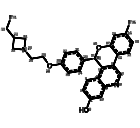 Oc1ccc2c3c(cnc2c1)-c1ccc(F)cc1O[C@@H]3c1ccc(OCCN2CC(CF)C2)cc1